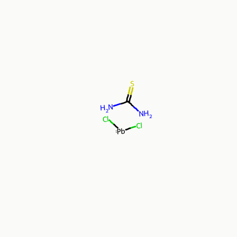 NC(N)=S.[Cl][Pb][Cl]